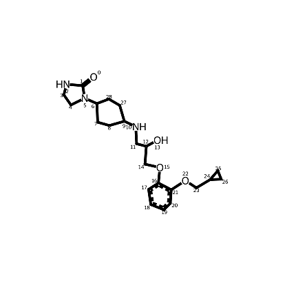 O=C1NCCN1C1CCC(NCC(O)COc2ccccc2OCC2CC2)CC1